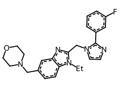 CCn1c(Cn2ccnc2-c2cccc(F)c2)nc2cc(CN3CCOCC3)ccc21